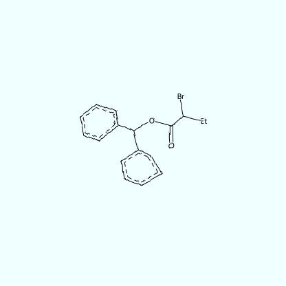 CCC(Br)C(=O)OC(c1ccccc1)c1ccccc1